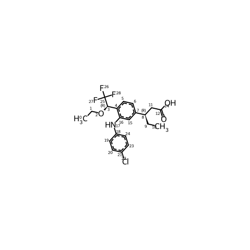 CCO[C@H](c1ccc([C@H](CC)CC(=O)O)cc1Nc1ccc(Cl)cc1)C(F)(F)F